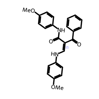 COc1ccc(N/C=C(\C(=O)Nc2ccc(OC)cc2)C(=O)c2ccccc2)cc1